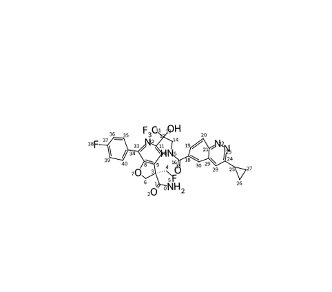 NC(=O)[C@@]1(CF)COc2c1cc(C(O)(CNC(=O)c1ccc3nnc(C4CC4)cc3c1)C(F)(F)F)nc2-c1ccc(F)cc1